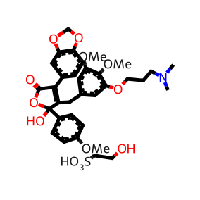 COc1ccc(C2(O)OC(=O)C(c3ccc4c(c3)OCO4)=C2Cc2cc(OC)c(OC)c(OCCCN(C)C)c2)cc1.O=S(=O)(O)CCO